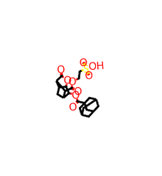 O=C1OC2C3CC(C2OC(=O)C24CC5CC(CC(C5)C2)C4)C(C(=O)OCCS(=O)(=O)O)C13